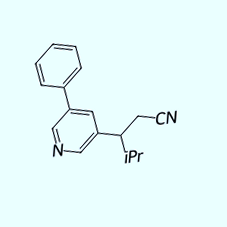 CC(C)C(CC#N)c1cncc(-c2ccccc2)c1